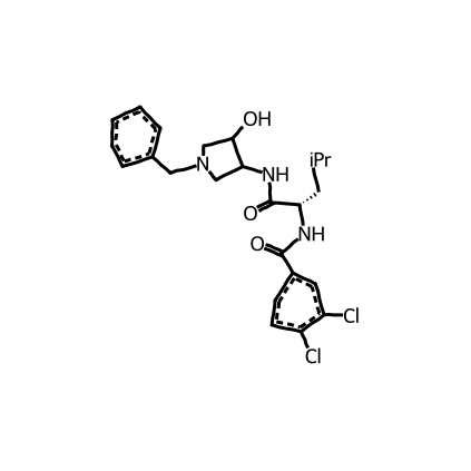 CC(C)C[C@H](NC(=O)c1ccc(Cl)c(Cl)c1)C(=O)NC1CN(Cc2ccccc2)CC1O